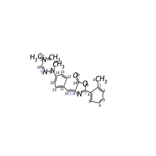 Cc1ccccc1C1=N/C(=C/c2ccc(N(C)/N=C\N(C)C)cc2)C(=O)O1